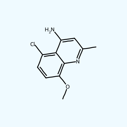 COc1ccc(Cl)c2c(N)cc(C)nc12